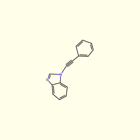 C(#Cn1cnc2ccccc21)c1ccccc1